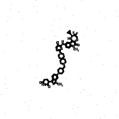 Cn1nc(C2CCC(=O)NC2=O)c2ccc(N3CCC(CN4CCC5(CC4)CCN(c4ncc(Cl)c(Nc6ccc7c(c6)c6c(c(=O)n7C)OCC(F)(F)[C@H](C7CC7)N6)n4)CC5)CC3)cc21